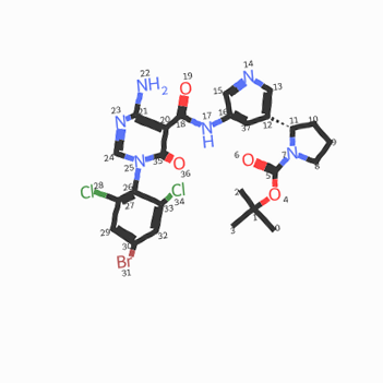 CC(C)(C)OC(=O)N1CCC[C@H]1c1cncc(NC(=O)c2c(N)ncn(-c3c(Cl)cc(Br)cc3Cl)c2=O)c1